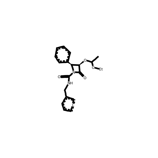 CCOC(C)O[C@H]1C(=O)N(C(=O)NCc2ccccc2)[C@H]1c1ccccc1